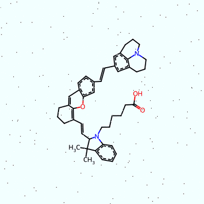 CC1(C)c2ccccc2N(CCCCCC(=O)O)C1/C=C/C1=C2Oc3cc(/C=C/c4cc5c6c(c4)CCCN6CCC5)ccc3C=C2CCC1